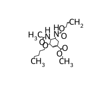 C=CCOC(=O)N[C@H]1CC(C(=O)OCC)=C[C@@H](OCCCCC)[C@@H]1NC(C)=O